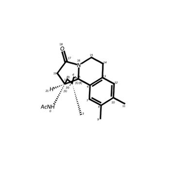 CC(=O)N[C@@H]1[C@@H](C)C[C@@]23c4cc(C)c(C)cc4CCN2C(=O)C[C@@H]13